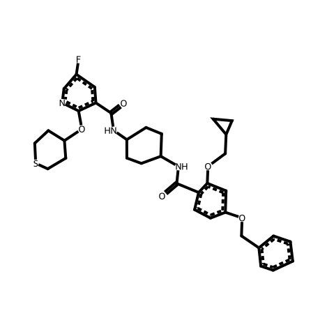 O=C(NC1CCC(NC(=O)c2cc(F)cnc2OC2CCSCC2)CC1)c1ccc(OCc2ccccc2)cc1OCC1CC1